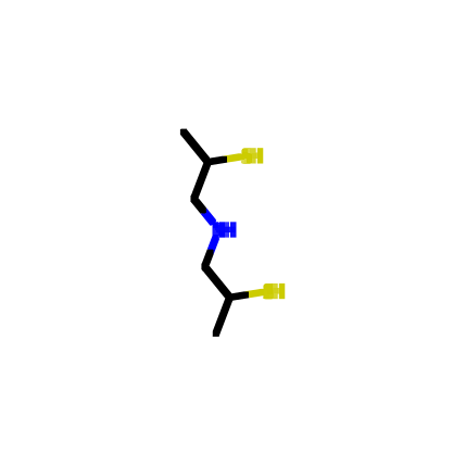 CC(S)CNCC(C)S